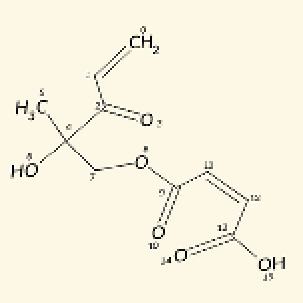 C=CC(=O)C(C)(O)COC(=O)/C=C\C(=O)O